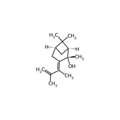 C=C(C)/C(C)=C1\C[C@@H]2C[C@@H](C2(C)C)[C@]1(C)O